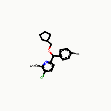 COc1nc(C(OCC2CCCC2)c2ccc(C(C)(C)C)cc2)ccc1Cl